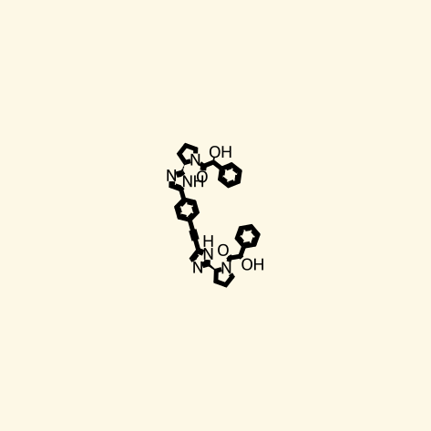 O=C(C(O)c1ccccc1)N1CCC[C@H]1c1ncc(C#Cc2ccc(-c3cnc([C@@H]4CCCN4C(=O)[C@H](O)c4ccccc4)[nH]3)cc2)[nH]1